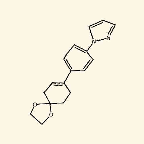 C1=C(c2ccc(-n3cccn3)cc2)CCC2(C1)OCCO2